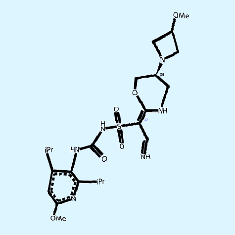 COc1cc(C(C)C)c(NC(=O)NS(=O)(=O)/C(C=N)=C2/NC[C@H](N3CC(OC)C3)CO2)c(C(C)C)n1